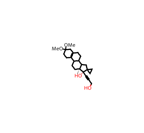 COC1(OC)CCC2=C(CCC3C2CC[C@@]2(C)C3CC3(CC3)[C@@]2(O)C#CCO)C1